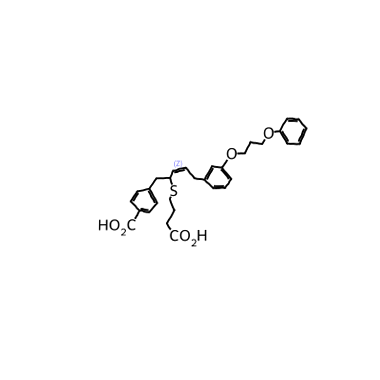 O=C(O)CCCSC(/C=C\Cc1cccc(OCCCOc2ccccc2)c1)Cc1ccc(C(=O)O)cc1